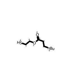 CCCCCCC(=O)OCCS